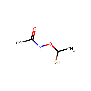 CCCC(=O)NOC(C)S